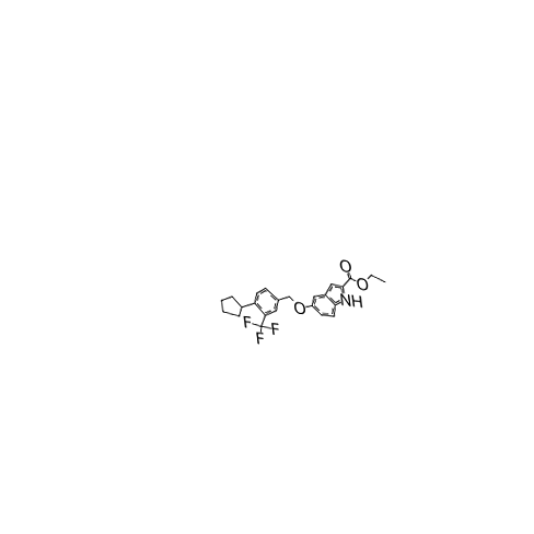 CCOC(=O)c1cc2cc(OCc3ccc(C4CCCC4)c(C(F)(F)F)c3)ccc2[nH]1